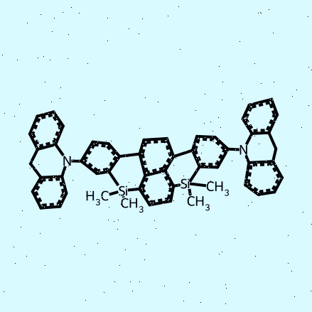 C[Si]1(C)c2cc(N3c4ccccc4Cc4ccccc43)ccc2-c2ccc3c4c(ccc1c24)[Si](C)(C)c1cc(N2c4ccccc4Cc4ccccc42)ccc1-3